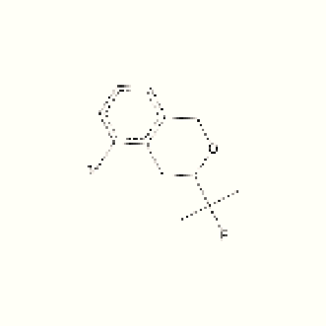 CC(C)(F)C1Cc2c(Br)cccc2CO1